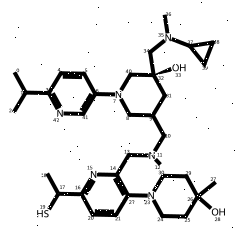 CC(C)c1ccc(N2CC(CN(C)Cc3nc(C(C)S)ccc3N3CCC(C)(O)CC3)C[C@@](O)(CN(C)C3CC3)C2)cn1